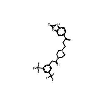 O=C(CCN1CCN(C(=O)Cc2cc(C(F)(F)F)cc(C(F)(F)F)c2)CC1)c1ccc2[nH]c(=O)oc2c1